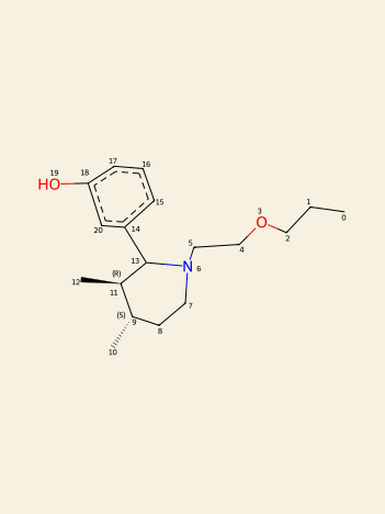 CCCOCCN1CC[C@H](C)[C@@H](C)C1c1cccc(O)c1